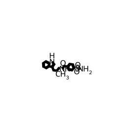 CC(CNC(=O)c1ccc(S(N)(=O)=O)cc1)Cc1c[nH]c2ccccc12